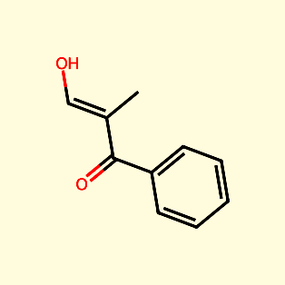 C/C(=C\O)C(=O)c1ccccc1